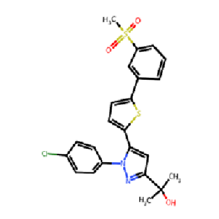 CC(C)(O)c1cc(-c2ccc(-c3cccc(S(C)(=O)=O)c3)s2)n(-c2ccc(Cl)cc2)n1